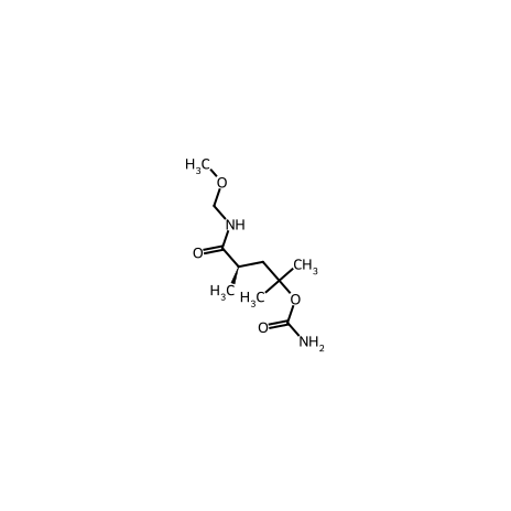 COCNC(=O)[C@H](C)CC(C)(C)OC(N)=O